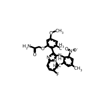 COc1cc(C)c(-c2nc3ccc(F)cn3c2Nc2c(C)cc(C)cc2[N+](=O)[O-])c(OCC(N)=O)c1